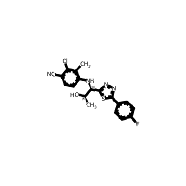 Cc1c(N[C@@H](c2nnc(-c3ccc(F)cc3)s2)[C@@H](C)O)ccc(C#N)c1Cl